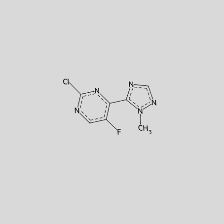 Cn1ncnc1-c1nc(Cl)ncc1F